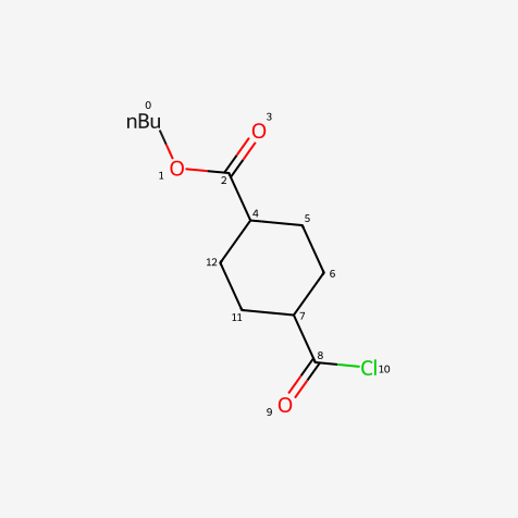 CCCCOC(=O)C1CCC(C(=O)Cl)CC1